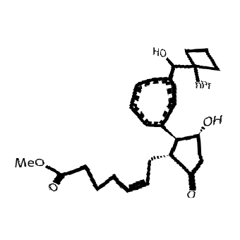 CCCC1(C(O)c2cccc([C@H]3[C@H](O)CC(=O)[C@@H]3C/C=C\CCCC(=O)OC)c2)CCC1